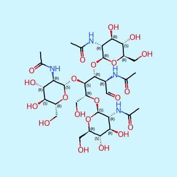 CC(=O)N[C@H]1[C@H](O[C@@H]([C@H](O[C@@H]2O[C@H](CO)[C@@H](O)[C@H](O)[C@H]2NC(C)=O)[C@@H](CO)O[C@@H]2O[C@H](CO)[C@@H](O)[C@H](O)[C@H]2NC(C)=O)[C@H](C=O)NC(C)=O)O[C@H](CO)[C@@H](O)[C@@H]1O